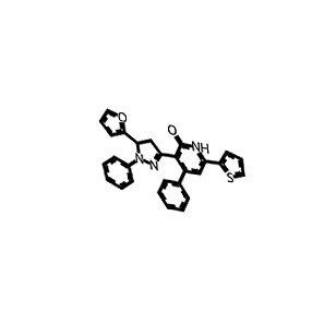 O=c1[nH]c(-c2cccs2)cc(-c2ccccc2)c1C1=NN(c2ccccc2)C(c2ccco2)C1